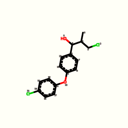 CC(CCl)C(O)c1ccc(Oc2ccc(Cl)cc2)cc1